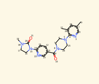 Cc1cnc(N2CCN(C(=O)c3ccc(N4CCN(C)C4=O)nc3)CC2)c(C)c1